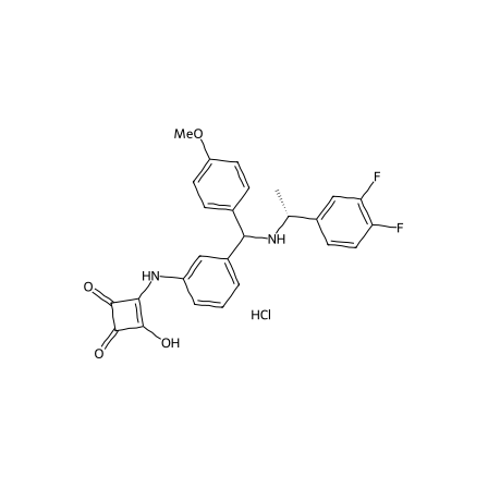 COc1ccc(C(N[C@H](C)c2ccc(F)c(F)c2)c2cccc(Nc3c(O)c(=O)c3=O)c2)cc1.Cl